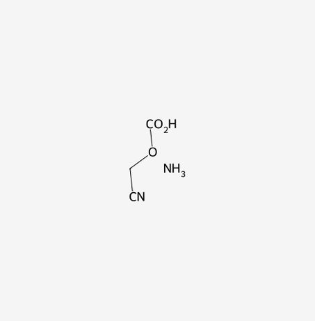 N.N#CCOC(=O)O